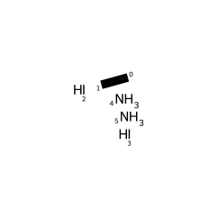 C=C.I.I.N.N